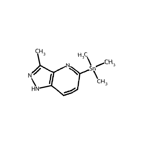 Cc1n[nH]c2cc[c]([Sn]([CH3])([CH3])[CH3])nc12